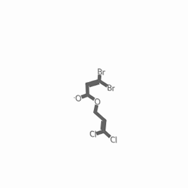 [O]C(C=C(Br)Br)OCC=C(Cl)Cl